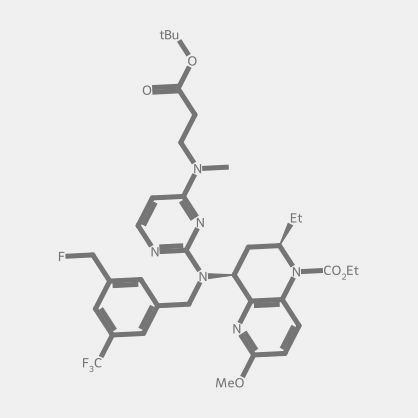 CCOC(=O)N1c2ccc(OC)nc2[C@@H](N(Cc2cc(CF)cc(C(F)(F)F)c2)c2nccc(N(C)CCC(=O)OC(C)(C)C)n2)C[C@H]1CC